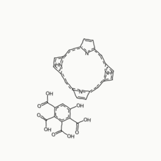 C1=Cc2cc3ccc(cc4nc(cc5ccc(cc1n2)[nH]5)C=C4)[nH]3.O=C(O)c1cc(O)c(C(=O)O)c(C(=O)O)c1C(=O)O